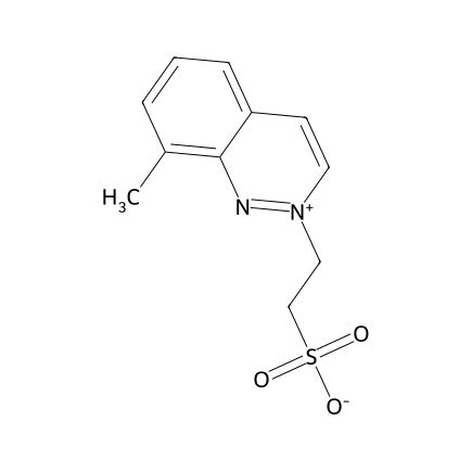 Cc1cccc2cc[n+](CCS(=O)(=O)[O-])nc12